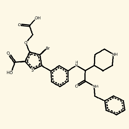 O=C(O)COc1c(C(=O)O)sc(-c2cccc(NC(C(=O)NCc3ccccc3)C3CCNCC3)c2)c1Br